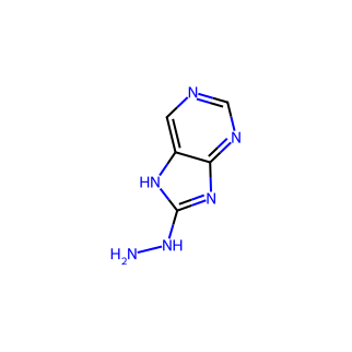 NNc1nc2ncncc2[nH]1